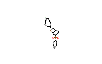 O=S(=O)(c1ccccc1)c1ccc2cc(-c3ccc(F)cc3)sc2c1